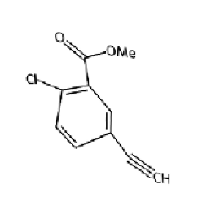 C#Cc1ccc(Cl)c(C(=O)OC)c1